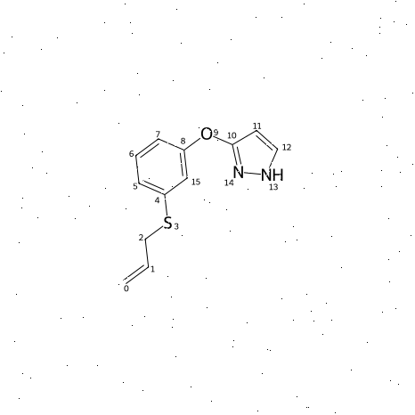 C=CCSc1cccc(Oc2cc[nH]n2)c1